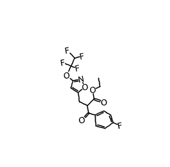 CCOC(=O)C(Cc1cc(OC(F)(F)C(F)F)no1)C(=O)c1ccc(F)cc1